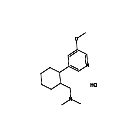 COc1cncc(C2CCCCC2CN(C)C)c1.Cl